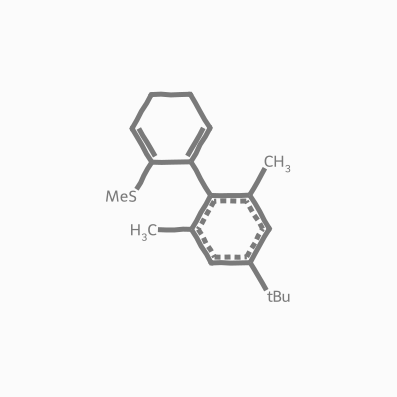 CSC1=CCCC=C1c1c(C)cc(C(C)(C)C)cc1C